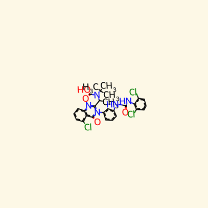 CC(c1nc2cccc(Cl)c2c(=O)n1-c1cccc(NC(=O)Nc2c(Cl)cccc2Cl)c1)N(C(=O)O)C(C)(C)C